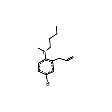 C=CCc1cc(Br)ccc1N(C)CCCC